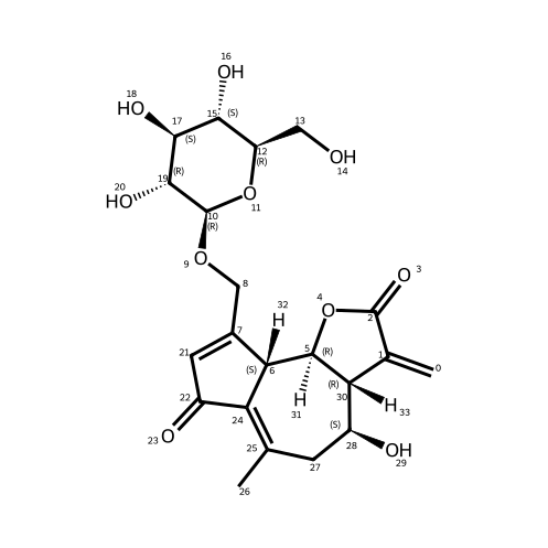 C=C1C(=O)O[C@@H]2[C@H]3C(CO[C@@H]4O[C@H](CO)[C@@H](O)[C@H](O)[C@H]4O)=CC(=O)C3=C(C)C[C@H](O)[C@@H]12